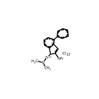 CCCC1=Cc2c(-c3ccccc3)cccc2[CH]1[Zr+2][Si](C)C.[Cl-].[Cl-]